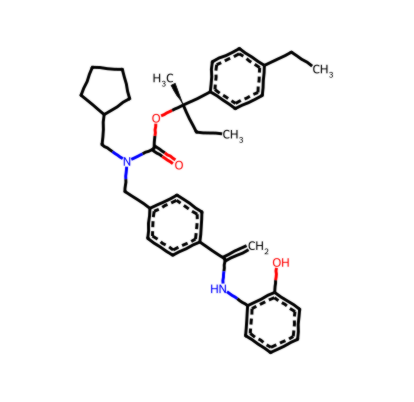 C=C(Nc1ccccc1O)c1ccc(CN(CC2CCCC2)C(=O)O[C@@](C)(CC)c2ccc(CC)cc2)cc1